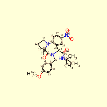 COc1ccc(CN2C(=O)[C@@H]3CCCN3c3ccc([N+](=O)[O-])cc3[C@H]2C(=O)NC(C)(C)C)cc1